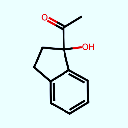 CC(=O)C1(O)CCc2ccccc21